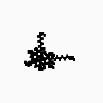 CCCCCCC/N=C(\C)C1C(C)=Cc2c(NCCCCCC)c(=O)c3c(O)cc(OC)c4c5c(OC)cc(O)c6c(=O)c(OC)c1c(c2c34)c65